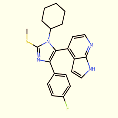 CSc1nc(-c2ccc(F)cc2)c(-c2ccnc3[nH]ccc23)n1C1CCCCC1